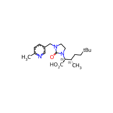 Cc1ccc(CN2CCN([C@H](C(=O)O)[C@@H](C)CCC(C)(C)C)C2=O)cn1